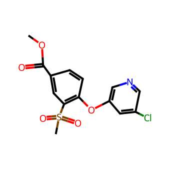 COC(=O)c1ccc(Oc2cncc(Cl)c2)c(S(C)(=O)=O)c1